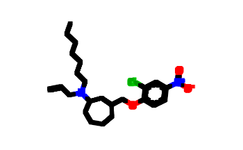 C=CCN(CCCCCCC)C1CCCCC(COc2ccc([N+](=O)[O-])cc2Cl)C1